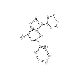 Nc1cc(-c2ccncn2)cc2c1cnn2C1CCCCO1